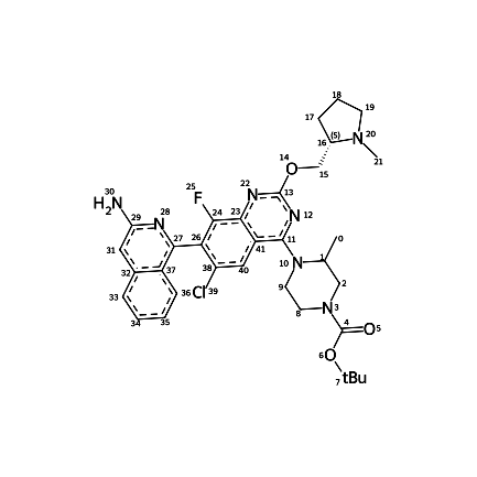 CC1CN(C(=O)OC(C)(C)C)CCN1c1nc(OC[C@@H]2CCCN2C)nc2c(F)c(-c3nc(N)cc4ccccc34)c(Cl)cc12